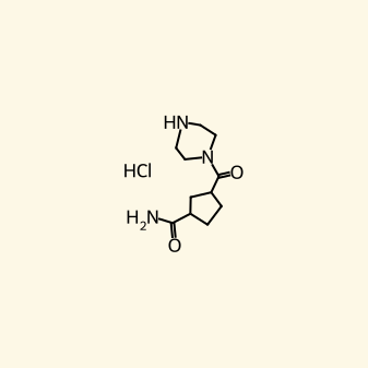 Cl.NC(=O)C1CCC(C(=O)N2CCNCC2)C1